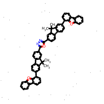 CC1(C)c2cc(-c3nnc(-c4ccc5c(c4)C(C)(C)c4cc(-c6cccc7c6oc6ccccc67)ccc4-5)o3)ccc2-c2ccc(-c3cccc4c3oc3ccccc34)cc21